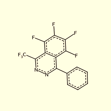 Fc1c(F)c(F)c2c(C(F)(F)F)nnc(-c3ccccc3)c2c1F